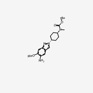 COc1cc2nn([C@H]3CC[C@H](N(C)C(=O)OC(C)(C)C)CC3)cc2cc1N